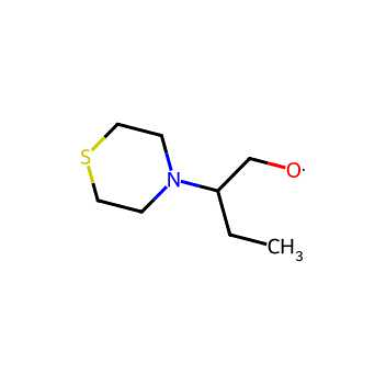 CCC(C[O])N1CCSCC1